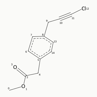 COC(=O)Cc1ccc(CC#CCl)cc1